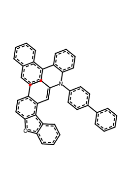 C1=C(N(c2ccc(-c3ccccc3)cc2)c2ccccc2-c2cccc3ccccc23)CCc2ccc3oc4ccccc4c3c21